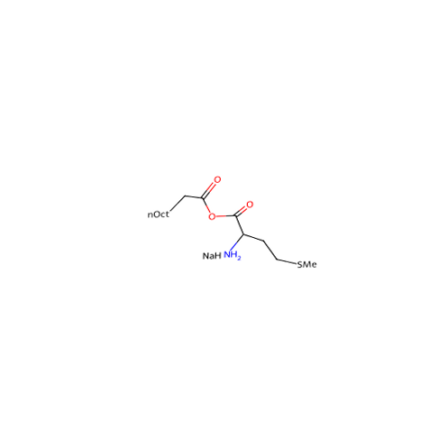 CCCCCCCCCC(=O)OC(=O)C(N)CCSC.[NaH]